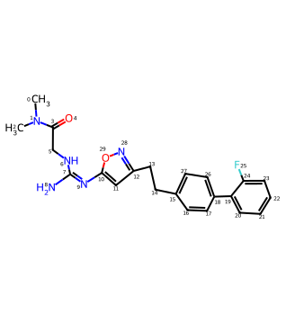 CN(C)C(=O)CNC(N)=Nc1cc(CCc2ccc(-c3ccccc3F)cc2)no1